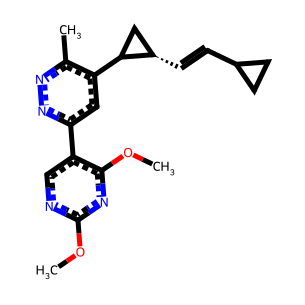 COc1ncc(-c2cc(C3C[C@@H]3/C=C/C3CC3)c(C)nn2)c(OC)n1